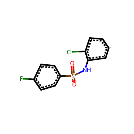 O=S(=O)(Nc1c[c]ccc1Cl)c1ccc(F)cc1